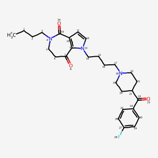 CCCCN1CCC(=O)c2c(ccn2CCCCN2CCC(C(=O)c3ccc(F)cc3)CC2)C1=O